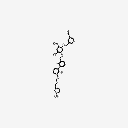 Cc1c(COc2cc(OCc3cncc(C#N)c3)c(C=O)cc2Cl)cccc1-c1cccc(OCCCN2CCC(O)C2)c1F